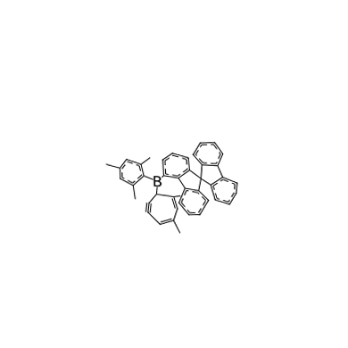 CC1=CC#CC(B(c2cccc3c2-c2ccccc2C32c3ccccc3-c3ccccc32)c2c(C)cc(C)cc2C)C(C)=C1